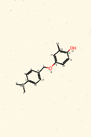 CB(C)c1ccc(COc2ccc(O)c(C)c2)cc1